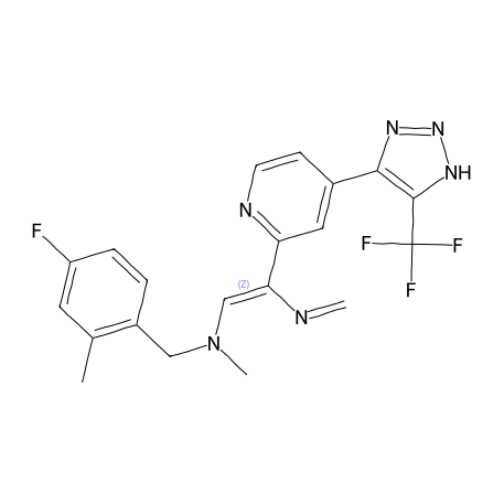 C=N/C(=C\N(C)Cc1ccc(F)cc1C)c1cc(-c2nn[nH]c2C(F)(F)F)ccn1